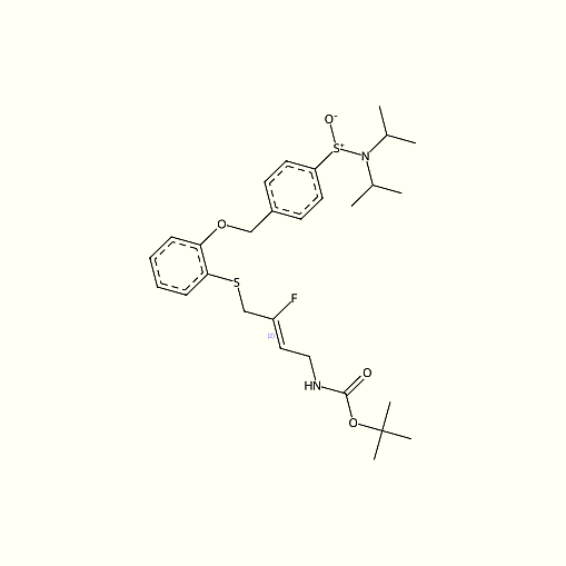 CC(C)N(C(C)C)[S+]([O-])c1ccc(COc2ccccc2SC/C(F)=C/CNC(=O)OC(C)(C)C)cc1